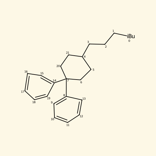 CCC(C)CCCC1CCC(c2ccccc2)(c2ccccc2)CC1